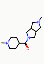 CN1CCC(C(=O)N2CC3CN(C)CC3C2)CC1